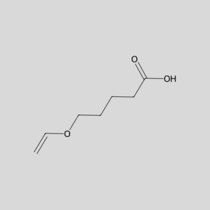 C=COCCCCC(=O)O